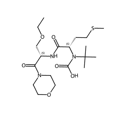 CCOC[C@H](NC(=O)[C@H](CCSC)N(C(=O)O)C(C)(C)C)C(=O)N1CCOCC1